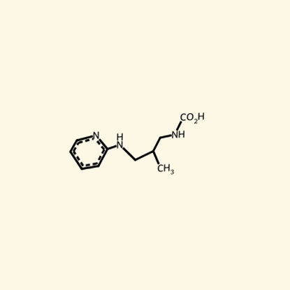 CC(CNC(=O)O)CNc1ccccn1